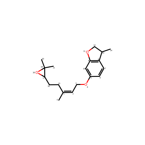 CC(=CCOc1ccc2c(c1)OCC2C)CCC1OC1(C)C